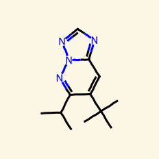 CC(C)c1nn2ncnc2cc1C(C)(C)C